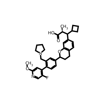 COc1cc(-c2ccc(C3CCc4ccc(C(C5CCC5)[C@H](C)C(=O)O)cc4O3)cc2CN2CCCC2)c(F)cn1